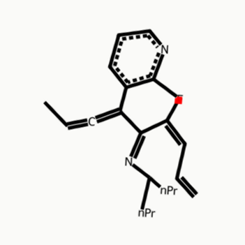 C=C/C=C(C)\C(=N/C(CCC)CCC)C(=C=CC)c1cccnc1F